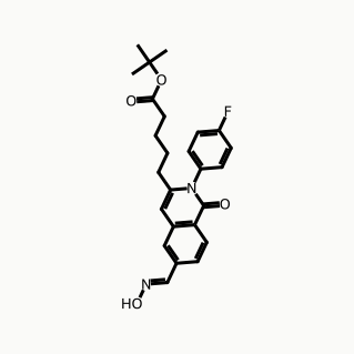 CC(C)(C)OC(=O)CCCCc1cc2cc(C=NO)ccc2c(=O)n1-c1ccc(F)cc1